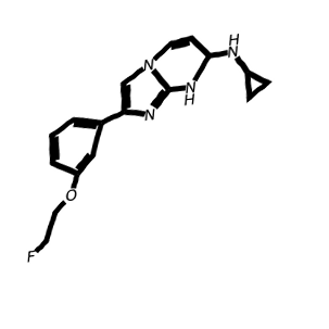 FCCOc1cccc(-c2cn3c(n2)NC(NC2CC2)C=C3)c1